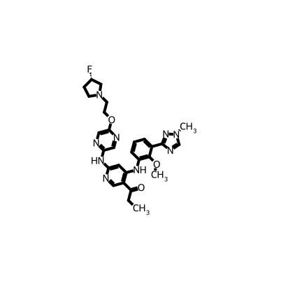 CCC(=O)c1cnc(Nc2cnc(OCCN3CC[C@H](F)C3)cn2)cc1Nc1cccc(-c2ncn(C)n2)c1OC